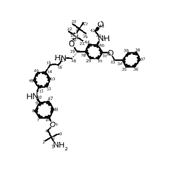 CC(C)(N)COc1ccc(Nc2ccc(CCNC[C@H](O[Si](C)(C)C(C)(C)C)c3ccc(OCc4ccccc4)c(NC=O)c3)cc2)cc1